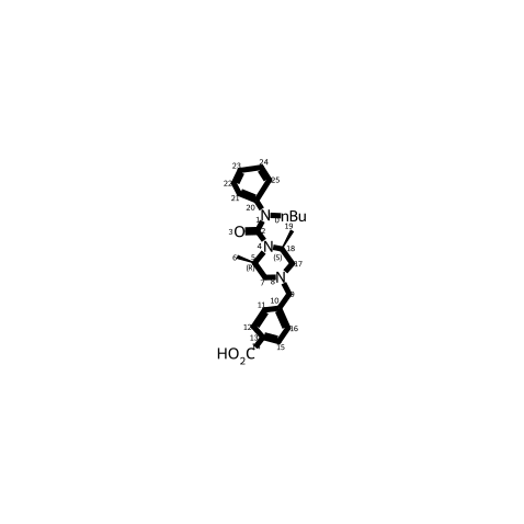 CCCCN(C(=O)N1[C@H](C)CN(Cc2ccc(C(=O)O)cc2)C[C@@H]1C)c1ccccc1